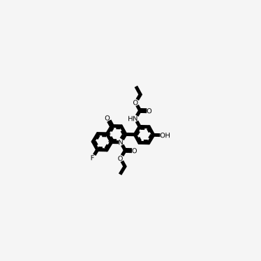 CCOC(=O)Nc1cc(O)ccc1-c1cc(=O)c2ccc(F)cc2n1C(=O)OCC